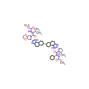 COC(=O)N[C@H](C(=O)N1CC2(C[C@H]1c1nc3ccc4cc(-c5ccc6c(ccc7nc([C@@H]8CCC(C)N8C(=O)[C@H](NC(=O)OC)c8ccccc8)[nH]c76)c5)ccc4c3[nH]1)OCCO2)C(C)C